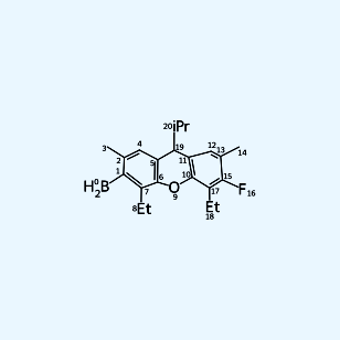 Bc1c(C)cc2c(c1CC)Oc1c(cc(C)c(F)c1CC)C2C(C)C